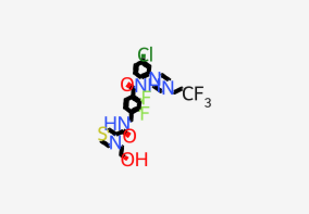 O=C(Nc1ccc(Cl)cc1N1CCN(CCC(F)(F)F)CC1)c1ccc(CNC(=O)C2CSCCN2CCO)c(F)c1F